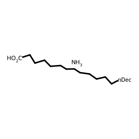 CCCCCCCCCCCCCCCCCCCCCCC(=O)O.N